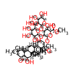 COC(=O)C1OC(O[C@H]2CC[C@]3(C)[C@H]4C=CC5[C@@H]6CC(C)(C)CC[C@]6(C=O)[C@H](O)C[C@@]5(C)[C@]4(C)CC[C@H]3[C@]2(C)C=O)C(OC2OC(CO)C(O)C(O)C2O)C(OC2OCC(O)C(O)C2O)C1O